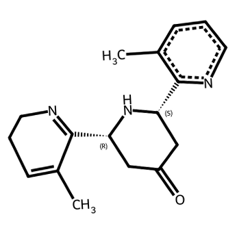 CC1=CCCN=C1[C@H]1CC(=O)C[C@@H](c2ncccc2C)N1